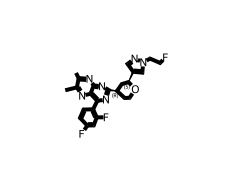 Cc1nc2nc([C@@H]3CCO[C@H](c4cnn(CCF)c4)C3)nc(-c3ccc(F)cc3F)c2nc1C